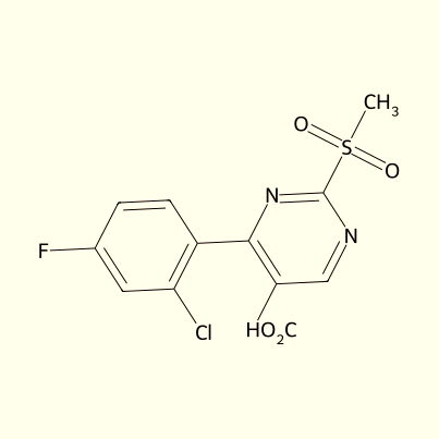 CS(=O)(=O)c1ncc(C(=O)O)c(-c2ccc(F)cc2Cl)n1